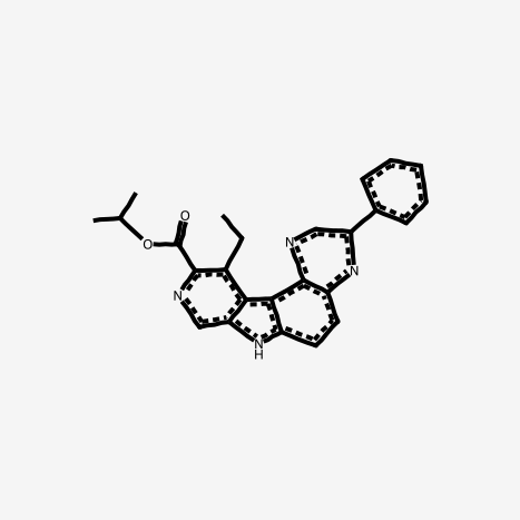 CCc1c(C(=O)OC(C)C)ncc2[nH]c3ccc4nc(-c5ccccc5)cnc4c3c12